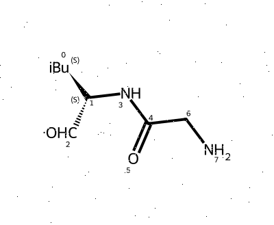 CC[C@H](C)[C@@H]([C]=O)NC(=O)CN